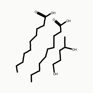 CC(O)CCCO.CCCCCCCCCC(=O)O.CCCCCCCCCC(=O)O